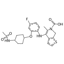 CC1=C(Nc2ccc(F)cc2OC2CCC(NS(C)(=O)=O)CC2)c2ccsc2CN1C(=O)O